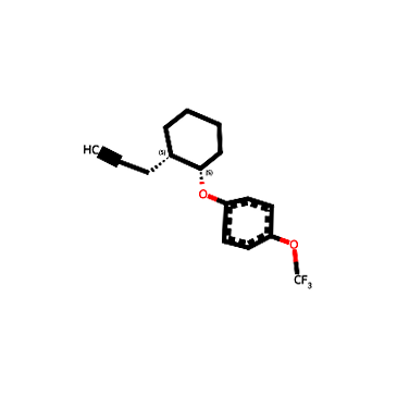 C#CC[C@@H]1CCCC[C@@H]1Oc1ccc(OC(F)(F)F)cc1